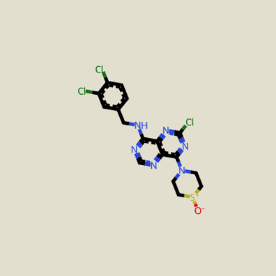 [O-][S+]1CCN(c2nc(Cl)nc3c(NCc4ccc(Cl)c(Cl)c4)ncnc23)CC1